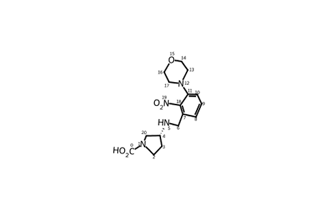 O=C(O)N1CC[C@@H](NCc2cccc(N3CCOCC3)c2[N+](=O)[O-])C1